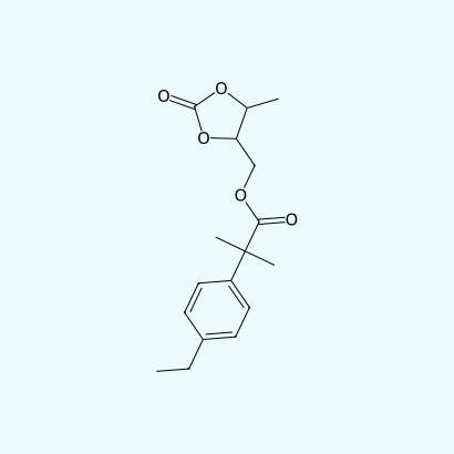 CCc1ccc(C(C)(C)C(=O)OCC2OC(=O)OC2C)cc1